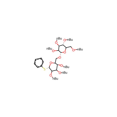 CCCCOCC1O[C@H](OCC2O[C@@H](Sc3ccccc3)C(OCCCC)C(OCCCC)[C@@H]2OCCCC)C(OCCCC)[C@@H](OCCCC)[C@@H]1OCCCC